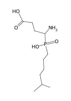 CC(C)CCCCP(=O)(O)C(N)CCC(=O)O